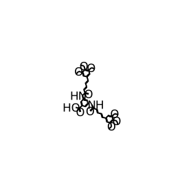 COc1cc(/C=C/C=C/C(=O)Nc2cc(NC(=O)/C=C/C=C/c3cc(OC)c(OC)c(OC)c3)cc(C(=O)O)c2)cc(OC)c1OC